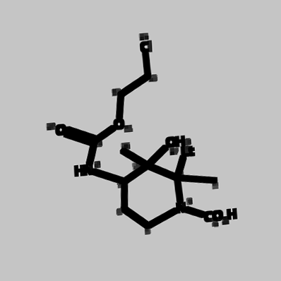 CCC1(C)N(C(=O)O)CCC(NC(=O)OCCCl)C1(C)O